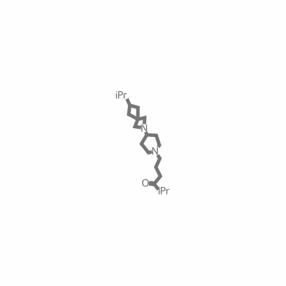 CC(C)C(=O)CCCN1CCC(N2CC3(CC(C(C)C)C3)C2)CC1